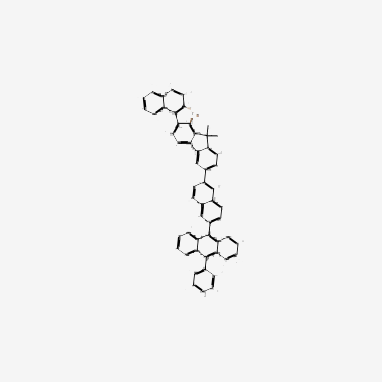 CC1(C)c2ccc(-c3ccc4cc(-c5c6ccccc6c(-c6ccccc6)c6ccccc56)ccc4c3)cc2-c2ccc3c(sc4ccc5ccccc5c43)c21